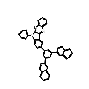 c1ccc(-n2c3ccc(-c4cc(-c5ccc6ccccc6c5)cc(-c5ccc6ccccc6c5)c4)cc3c3nc4ccccc4nc32)cc1